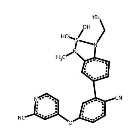 CN1c2cc(-c3cc(Oc4ccnc(C#N)c4)ccc3C#N)ccc2N(CC(C)(C)C)S1(O)O